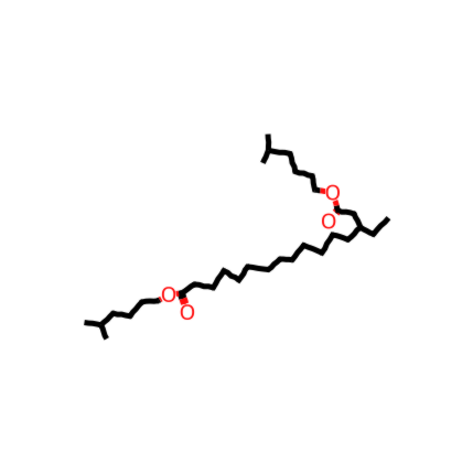 CCC(CCCCCCCCCCCCC(=O)OCCCCC(C)C)CC(=O)OCCCCC(C)C